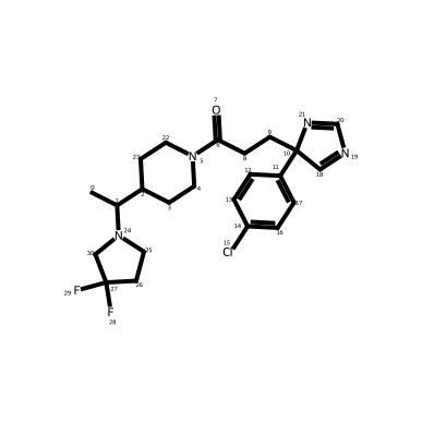 CC(C1CCN(C(=O)CCC2(c3ccc(Cl)cc3)C=NC=N2)CC1)N1CCC(F)(F)C1